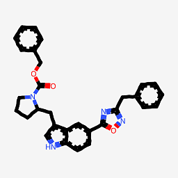 O=C(OCc1ccccc1)N1CCCC1Cc1c[nH]c2ccc(-c3nc(Cc4ccccc4)no3)cc12